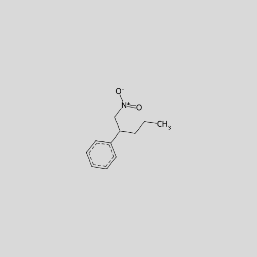 CCCC(C[N+](=O)[O-])c1ccccc1